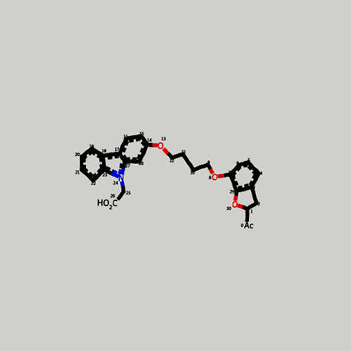 CC(=O)C1Cc2cccc(OCCCCOc3ccc4c5ccccc5n(CC(=O)O)c4c3)c2O1